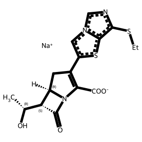 CCSc1ncn2cc(C3=C(C(=O)[O-])N4C(=O)[C@H]([C@@H](C)O)[C@H]4C3)sc12.[Na+]